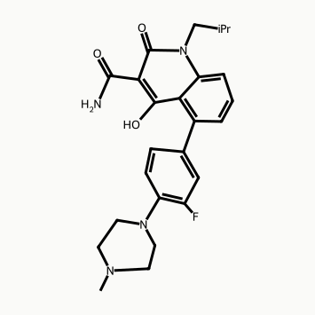 CC(C)Cn1c(=O)c(C(N)=O)c(O)c2c(-c3ccc(N4CCN(C)CC4)c(F)c3)cccc21